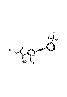 CCC(=O)Nc1ccc(C#Cc2cccc(C(F)(F)F)c2)cc1C(=O)O